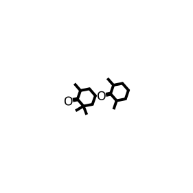 CC1CCCC(C)(C)C1=O.CC1CCCC(C)C1=O